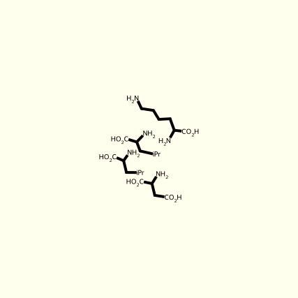 CC(C)CC(N)C(=O)O.CC(C)CC(N)C(=O)O.NC(CC(=O)O)C(=O)O.NCCCCC(N)C(=O)O